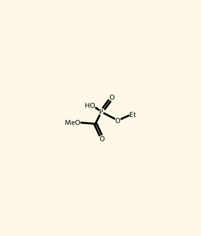 CCOP(=O)(O)C(=O)OC